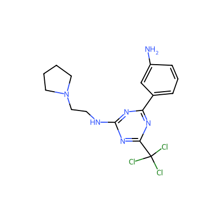 Nc1cccc(-c2nc(NCCN3CCCC3)nc(C(Cl)(Cl)Cl)n2)c1